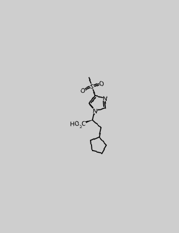 CS(=O)(=O)c1cn([C@@H](CC2CCCC2)C(=O)O)cn1